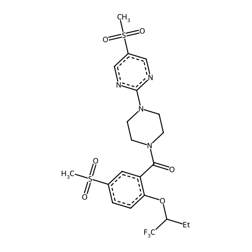 CCC(Oc1ccc(S(C)(=O)=O)cc1C(=O)N1CCN(c2ncc(S(C)(=O)=O)cn2)CC1)C(F)(F)F